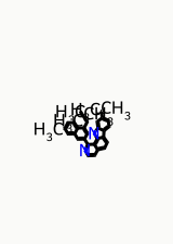 Cc1ccc2c(CC(C)(C)C)c3c(cc2c1)c1nccc2ccc4c5ccc(C(C)C)cc5n3c4c21